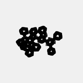 c1ccc(-c2nc(-c3ccccc3)nc(-c3ccc(-n4c5ccccc5c5c4c4c(c6c7ccccc7n(-c7ccccc7)c65)C5(c6ccccc6-c6ccccc65)c5ccccc5-4)c4c3sc3ccccc34)n2)cc1